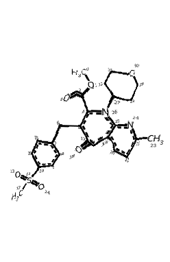 COC(=O)c1c(Cc2ccc(S(C)(=O)=O)cc2)c(=O)c2ccc(C)nc2n1C1CCOCC1